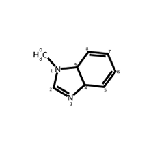 CN1C=NC2C=CC=CC21